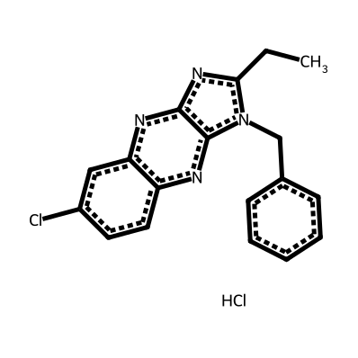 CCc1nc2nc3cc(Cl)ccc3nc2n1Cc1ccccc1.Cl